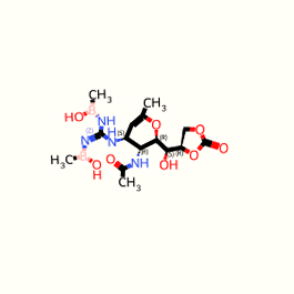 CB(O)/N=C(/NB(C)O)N[C@H]1C=C(C)O[C@@H]([C@H](O)[C@H]2COC(=O)O2)[C@@H]1NC(C)=O